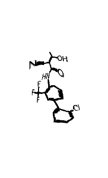 C/C(O)=C(\C#N)C(=O)Nc1ccc(-c2ccccc2Cl)cc1C(F)(F)F